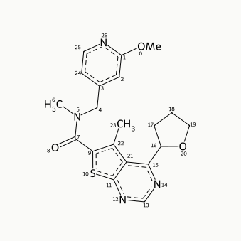 COc1cc(CN(C)C(=O)c2sc3ncnc(C4CCCO4)c3c2C)ccn1